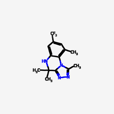 Cc1cc(C(F)(F)F)cc2c1-n1c(C)nnc1C(C)(C)N2